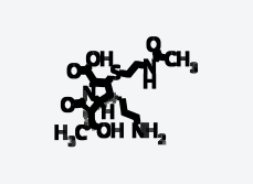 CC(=O)NCCSC1=C(C(=O)O)N2C(=O)[C@H]([C@@H](C)O)[C@H]2[C@H]1CCCN